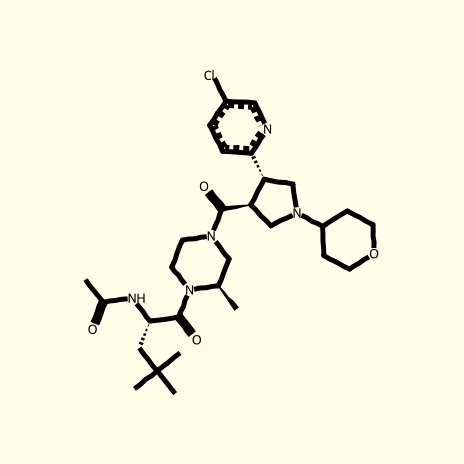 CC(=O)N[C@@H](CC(C)(C)C)C(=O)N1CCN(C(=O)[C@@H]2CN(C3CCOCC3)C[C@H]2c2ccc(Cl)cn2)C[C@H]1C